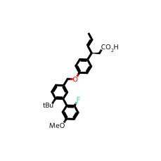 C/C=C/[C@@H](CC(=O)O)c1ccc(OCc2ccc(C(C)(C)C)c(-c3cc(OC)ccc3F)c2)cc1